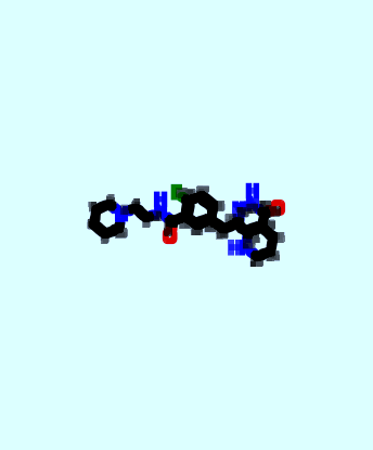 O=C(NCCN1CCCCC1)c1cc(Cc2n[nH]c(=O)c3c2NCCC3)ccc1F